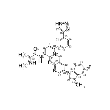 CN[C@@H](C)C(=O)Nc1ccc(-c2cccc(-c3c[nH]nn3)c2)n(Cc2cncc(-n3cc(C)c4cc(F)ccc43)c2)c1=O